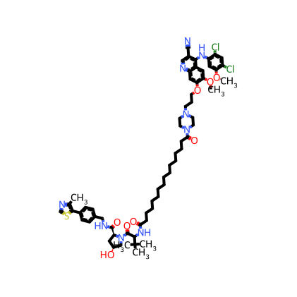 COc1cc(Nc2c(C#N)cnc3cc(OCCCN4CCN(C(=O)CCCCCCCCCCCCCCC(=O)NC(C(=O)N5C[C@H](O)C[C@H]5C(=O)NCc5ccc(-c6scnc6C)cc5)C(C)(C)C)CC4)c(OC)cc23)c(Cl)cc1Cl